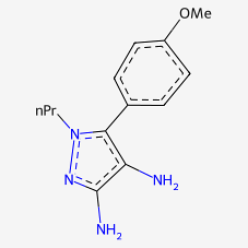 CCCn1nc(N)c(N)c1-c1ccc(OC)cc1